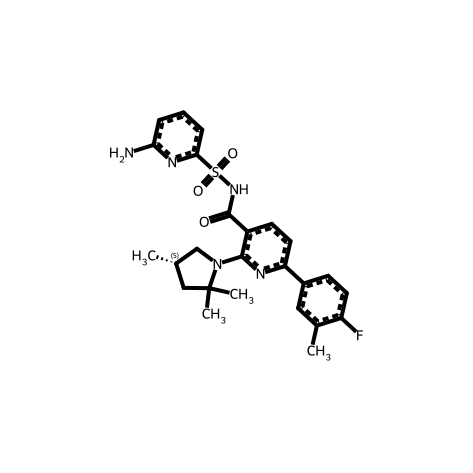 Cc1cc(-c2ccc(C(=O)NS(=O)(=O)c3cccc(N)n3)c(N3C[C@@H](C)CC3(C)C)n2)ccc1F